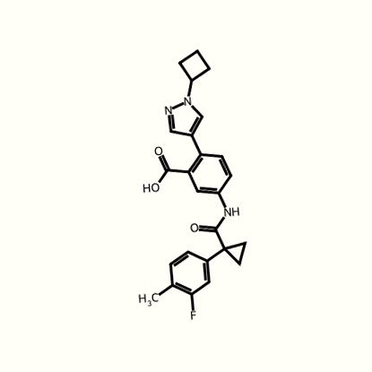 Cc1ccc(C2(C(=O)Nc3ccc(-c4cnn(C5CCC5)c4)c(C(=O)O)c3)CC2)cc1F